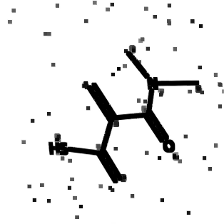 C=C(S)C(=C)C(=O)N(C)C